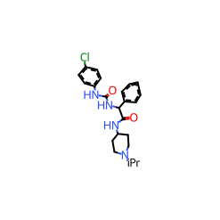 CC(C)N1CCC(NC(=O)C(NC(=O)Nc2ccc(Cl)cc2)c2ccccc2)CC1